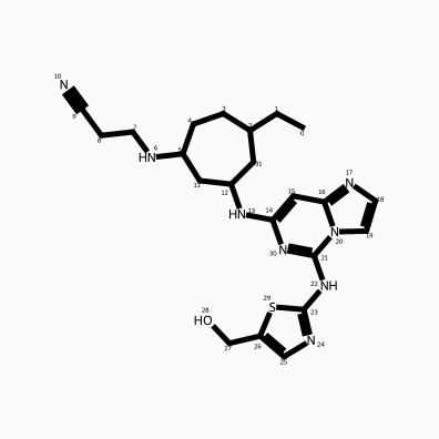 CCC1CCC(NCCC#N)CC(Nc2cc3nccn3c(Nc3ncc(CO)s3)n2)C1